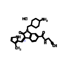 C#CCNC(=O)c1ccc2c(c1)N(CC1CCC(N)CC1)C(=O)/C2=C\c1[nH]ccc1C.Cl